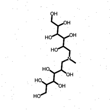 CN(CC(O)C(O)C(O)C(O)CO)CC(O)C(O)C(O)C(O)CO